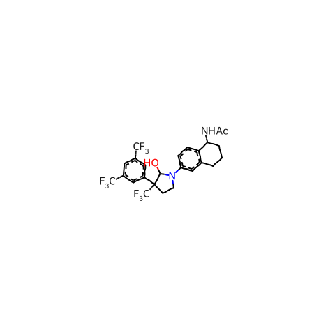 CC(=O)NC1CCCc2cc(N3CCC(c4cc(C(F)(F)F)cc(C(F)(F)F)c4)(C(F)(F)F)C3O)ccc21